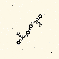 CC(C)(c1ccc(OCCC(OCc2ccccc2)OCC2CO2)cc1)c1ccc(OCCC(OCc2ccccc2)OCC2CO2)cc1